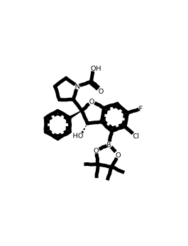 CC1(C)OB(c2c(Cl)c(F)cc3c2[C@H](O)[C@](c2ccccc2)(C2CCCN2C(=O)O)O3)OC1(C)C